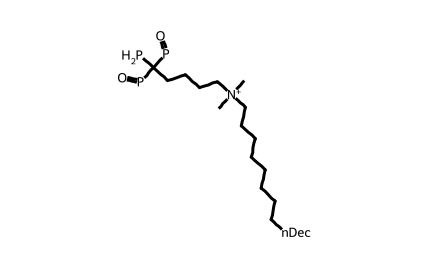 CCCCCCCCCCCCCCCCCC[N+](C)(C)CCCCC(P)(P=O)P=O